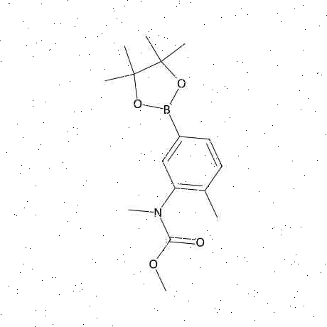 COC(=O)N(C)c1cc(B2OC(C)(C)C(C)(C)O2)ccc1C